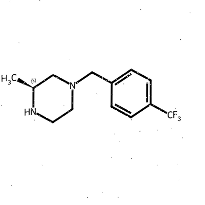 C[C@H]1CN(Cc2ccc(C(F)(F)F)cc2)CCN1